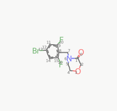 O=C1COCCN1Cc1c(F)cc(Br)cc1F